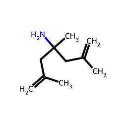 C=C(C)CC(C)(N)CC(=C)C